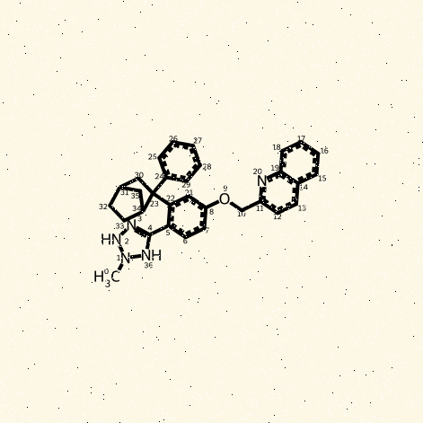 CN1NN=C(c2ccc(OCc3ccc4ccccc4n3)cc2C2(c3ccccc3)CC3CCC2C3)N1